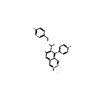 CCOC(=O)C(OCc1ccc(OC)cc1)c1c(C)cc2cc(OC)ccc2c1-c1ccc(Cl)cc1